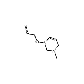 C=CCON1C=CCN(C)C1